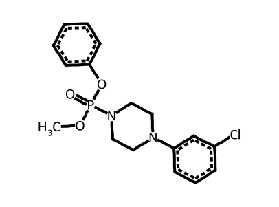 COP(=O)(Oc1ccccc1)N1CCN(c2cccc(Cl)c2)CC1